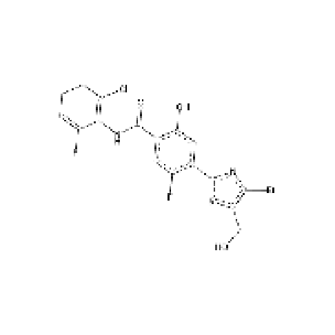 CCc1nc(-c2cc(O)c(C(=O)NC3=C(Cl)CCC=C3F)cc2F)sc1CO